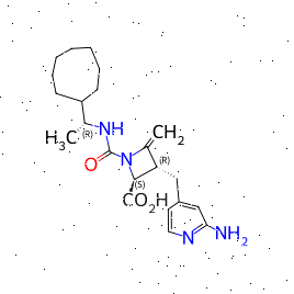 C=C1[C@H](Cc2ccnc(N)c2)[C@@H](C(=O)O)N1C(=O)N[C@H](C)C1CCCCCCC1